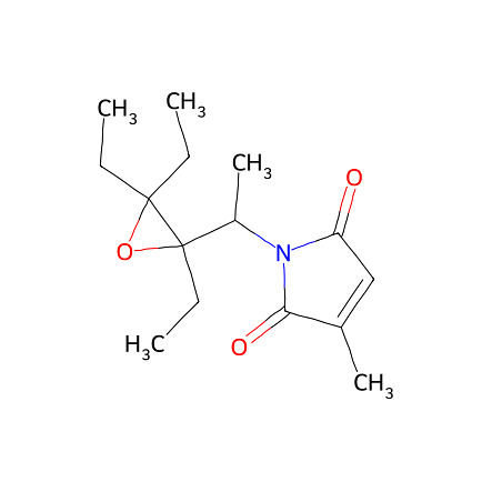 CCC1(CC)OC1(CC)C(C)N1C(=O)C=C(C)C1=O